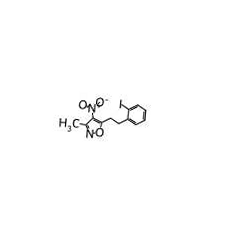 Cc1noc(CCc2ccccc2I)c1[N+](=O)[O-]